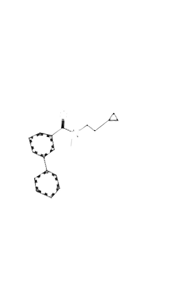 O=C(NCCC1CC1)c1cccc(-c2ccccc2)c1